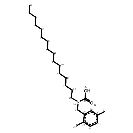 CCCCCCCCCCCCCCCCN(Cc1cc(C)ccc1I)C(=O)O